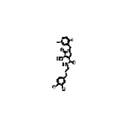 Cc1ccc(F)c(CN2CC(C(=O)NCCCc3ccc(Cl)c(Cl)c3)=C(O)C2=O)c1